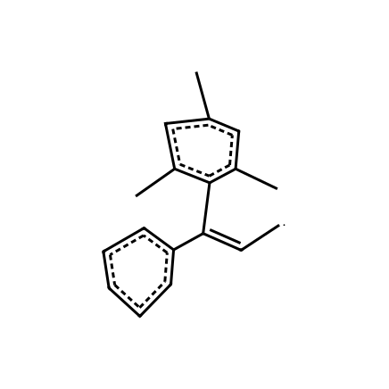 [CH2]/C=C(/c1ccccc1)c1c(C)cc(C)cc1C